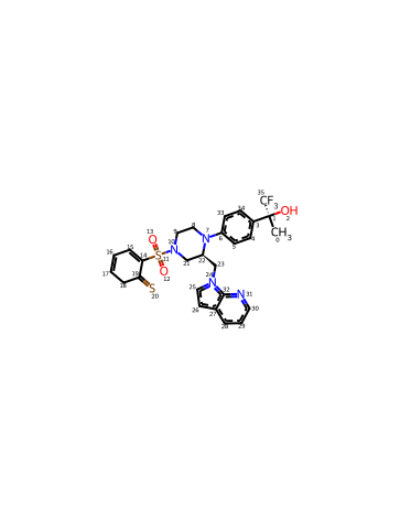 C[C@](O)(c1ccc(N2CCN(S(=O)(=O)C3=CC=CCC3=S)C[C@@H]2Cn2ccc3cccnc32)cc1)C(F)(F)F